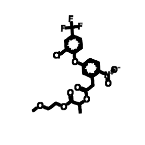 COCCOC(=O)C(C)OC(=O)Cc1cc(Oc2ccc(C(F)(F)F)cc2Cl)ccc1[N+](=O)[O-]